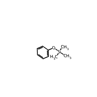 C[Si](C)(C)Oc1ccccc1